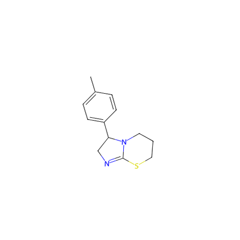 Cc1ccc(C2CN=C3SCCCN32)cc1